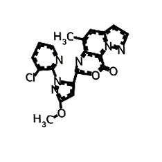 COc1cc(-c2nc3c(C)cc4ccnn4c3c(=O)o2)n(-c2ncccc2Cl)n1